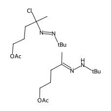 CC(=O)OCCCC(C)(Cl)N=NC(C)(C)C.CC(=O)OCCCC(C)=NNC(C)(C)C